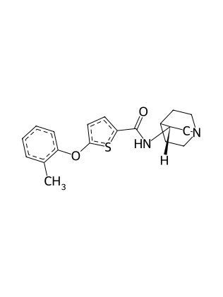 Cc1ccccc1Oc1ccc(C(=O)N[C@H]2CN3CCC2CC3)s1